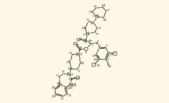 Cc1c(Cl)cc(C[C@@H](OC(=O)N2CCC(N3CCc4ccccc4NC3=O)CC2)C(=O)N2CCC(N3CCCCC3)CC2)cc1Cl